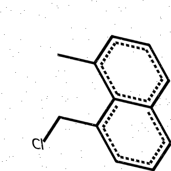 Cc1cccc2cccc(CCl)c12